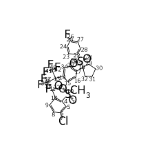 CS(=O)(=O)c1cc(Cl)ccc1COC(c1ccc(C2(S(=O)(=O)c3ccc(F)cc3)CCCC2)cc1)(C(F)(F)F)C(F)(F)F